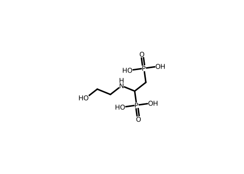 O=P(O)(O)CC(NCCO)P(=O)(O)O